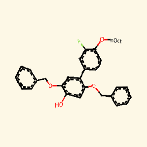 CCCCCCCCOc1ccc(-c2cc(OCc3ccccc3)c(O)cc2OCc2ccccc2)cc1F